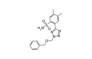 Cc1cc(-c2nnn(COCc3ccccc3)n2)c(S(N)(=O)=O)cc1C